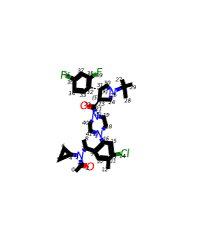 CC(=O)N(C1CC1)C(C)c1cc(C)c(Cl)cc1N1CCN(C(=O)[C@@H]2CN(C(C)(C)C)C[C@H]2c2ccc(F)cc2F)CC1